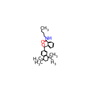 CCCCNC(=O)c1ccccc1C(=O)c1ccc2c(c1)C(C)(C)CCC2(C)C